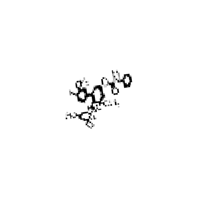 Cc1cc(C2=C(C=C[C@H]3C[C@H](O)CC(=O)O3)C(C)(C)CC(OC(=O)Nc3ccccc3)C2)ccc1F